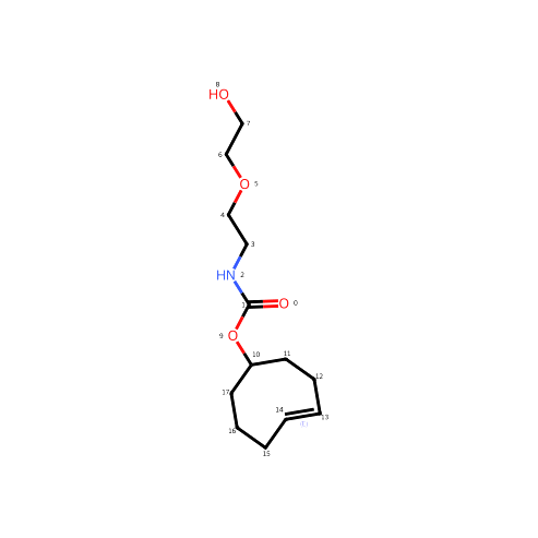 O=C(NCCOCCO)OC1CC/C=C/CCC1